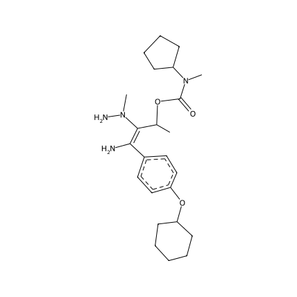 CC(OC(=O)N(C)C1CCCC1)/C(=C(/N)c1ccc(OC2CCCCC2)cc1)N(C)N